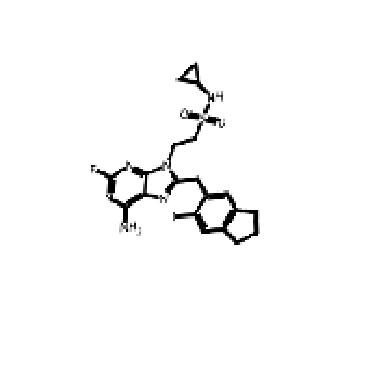 Nc1nc(F)nc2c1nc(Cc1cc3c(cc1I)CCC3)n2CCS(=O)(=O)NC1CC1